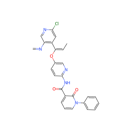 C=Nc1cnc(Cl)cc1/C(=C\C)Oc1ccc(NC(=O)c2cccn(-c3ccccc3)c2=O)nc1